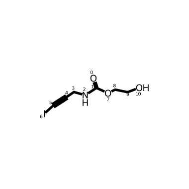 O=C(NCC#CI)OCCO